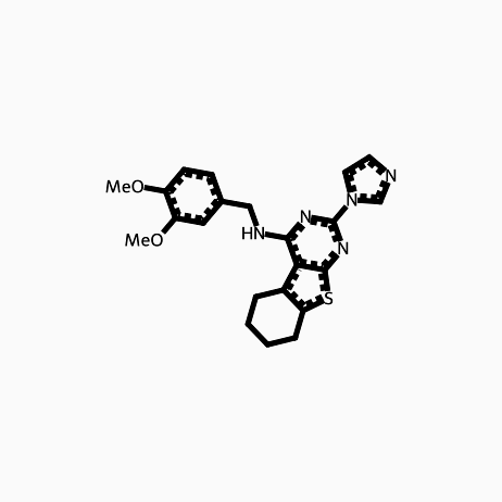 COc1ccc(CNc2nc(-n3ccnc3)nc3sc4c(c23)CCCC4)cc1OC